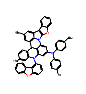 CC(C)(C)c1ccc(N(c2ccc(C(C)(C)C)cc2)c2cc3c4c(c2)-n2c5oc6ccccc6c5c5cc(C(C)(C)C)cc(c52)B4c2ccc(C(C)(C)C)cc2N3c2cccc3oc4ccccc4c23)cc1